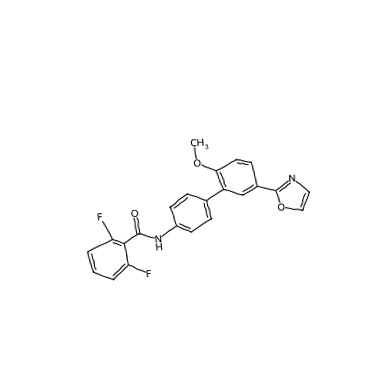 COc1ccc(-c2ncco2)cc1-c1ccc(NC(=O)c2c(F)cccc2F)cc1